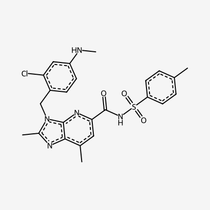 CNc1ccc(Cn2c(C)nc3c(C)cc(C(=O)NS(=O)(=O)c4ccc(C)cc4)nc32)c(Cl)c1